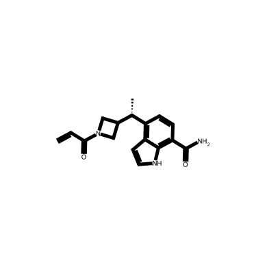 C=CC(=O)N1CC([C@H](C)c2ccc(C(N)=O)c3[nH]ccc23)C1